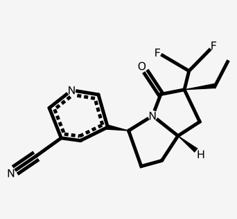 CC[C@@]1(C(F)F)C[C@@H]2CC[C@@H](c3cncc(C#N)c3)N2C1=O